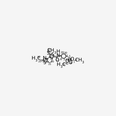 CCOP(=O)(Cc1ccc(NC(=O)c2sc(SC)c3c2CCc2sc(CC)nc2-3)cc1)OCC